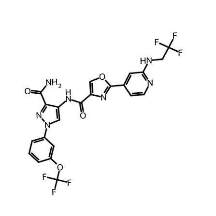 NC(=O)c1nn(-c2cccc(OC(F)(F)F)c2)cc1NC(=O)c1coc(-c2ccnc(NCC(F)(F)F)c2)n1